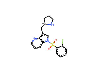 O=S(=O)(c1ccccc1F)n1cc(C[C@H]2CCCN2)c2ncccc21